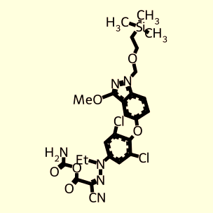 CCN(N=C(C#N)C(=O)OC(N)=O)c1cc(Cl)c(Oc2ccc3c(c2)c(OC)nn3COCC[Si](C)(C)C)c(Cl)c1